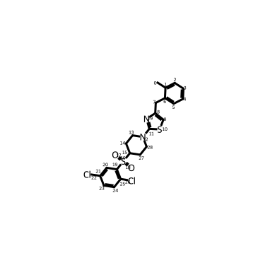 Cc1ccccc1Cc1csc(N2CCC(S(=O)(=O)c3cc(Cl)ccc3Cl)CC2)n1